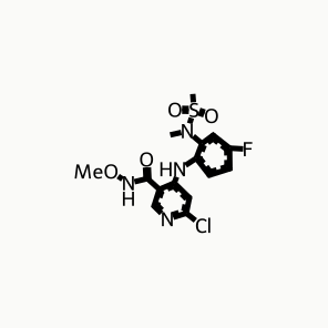 CONC(=O)c1cnc(Cl)cc1Nc1ccc(F)cc1N(C)S(C)(=O)=O